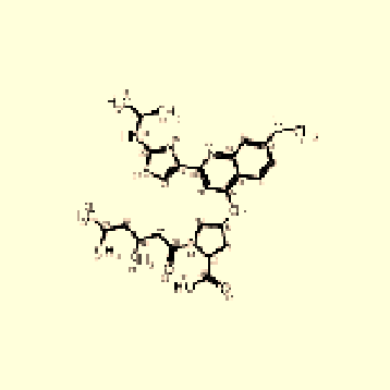 COc1ccc2c(O[C@@H]3C[C@@H](C(=O)O)N(C(=O)CC(N)CC(C)C)C3)cc(-c3csc(NC(C)C)n3)nc2c1